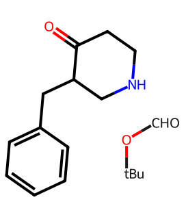 CC(C)(C)OC=O.O=C1CCNCC1Cc1ccccc1